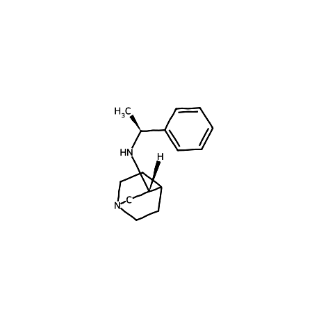 C[C@H](N[C@H]1CN2CCC1CC2)c1ccccc1